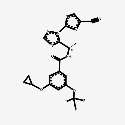 C[C@H](NC(=O)c1cc(OC2CC2)cc(OC(F)(F)F)c1)c1ncnn1-c1ncc(C#N)s1